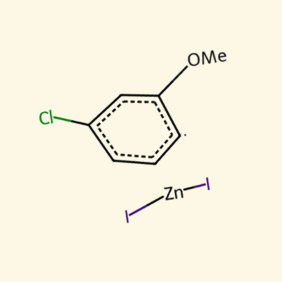 COc1[c]ccc(Cl)c1.[I][Zn][I]